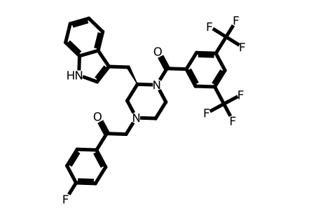 O=C(CN1CCN(C(=O)c2cc(C(F)(F)F)cc(C(F)(F)F)c2)[C@H](Cc2c[nH]c3ccccc23)C1)c1ccc(F)cc1